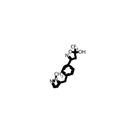 Cn1nccc1Cc1ccc(C2=NOC(O)(C(F)(F)F)C2)cc1